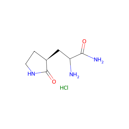 Cl.NC(=O)C(N)C[C@@H]1CCNC1=O